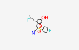 CC(F)CCc1cc(O)ccc1C=C(C#N)S(=O)(=O)c1ccc(F)cc1